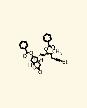 CCC#CCC(C)[C@@H](C=C[C@@H]1[C@H]2CC(=O)O[C@H]2C[C@H]1OC(=O)c1ccccc1)OC(=O)c1ccccc1